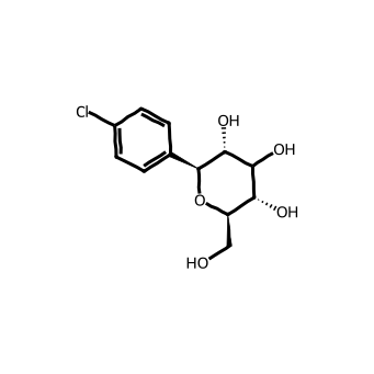 OC[C@H]1O[C@@H](c2ccc(Cl)cc2)[C@H](O)C(O)[C@@H]1O